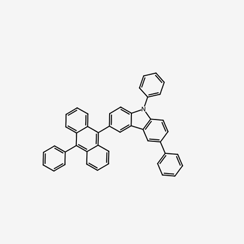 c1ccc(-c2ccc3c(c2)c2cc(-c4c5ccccc5c(-c5ccccc5)c5ccccc45)ccc2n3-c2ccccc2)cc1